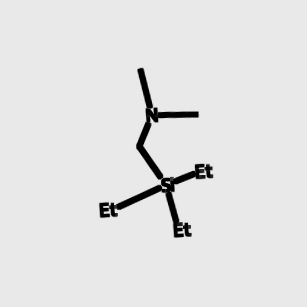 CC[Si](CC)(CC)CN(C)C